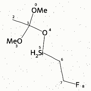 COC(C)(OC)O[SiH2]CCF